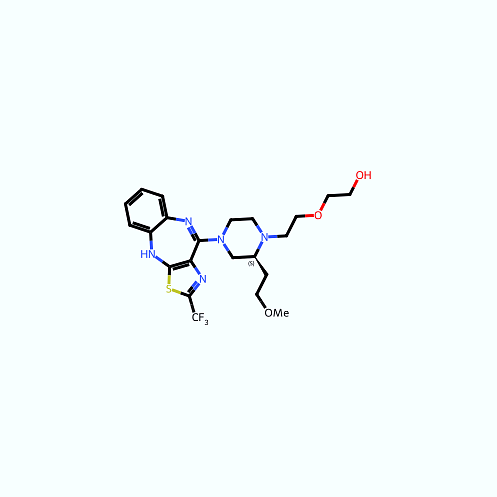 COCC[C@H]1CN(C2=Nc3ccccc3Nc3sc(C(F)(F)F)nc32)CCN1CCOCCO